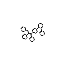 c1ccc(-c2ccccc2-c2ccc(N(c3ccccc3)c3cc4ccccc4c4ccccc34)cc2)cc1